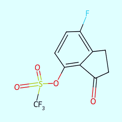 O=C1CCc2c(F)ccc(OS(=O)(=O)C(F)(F)F)c21